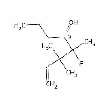 C=CC(C)(C)C(C)(F)[C@@H](O)CCC